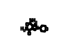 NC(=O)c1cn(C2CCOCC2)nc1C(N)=O